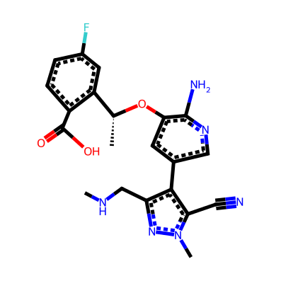 CNCc1nn(C)c(C#N)c1-c1cnc(N)c(O[C@H](C)c2cc(F)ccc2C(=O)O)c1